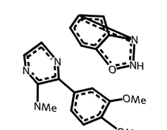 CNc1nccnc1-c1ccc(OC)c(OC)c1.c1cc2cc3c1o[nH]n2-3